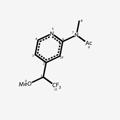 COC(c1ccnc(N(C)C(C)=O)c1)C(F)(F)F